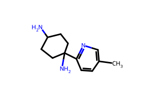 Cc1ccc(C2(N)CCC(N)CC2)nc1